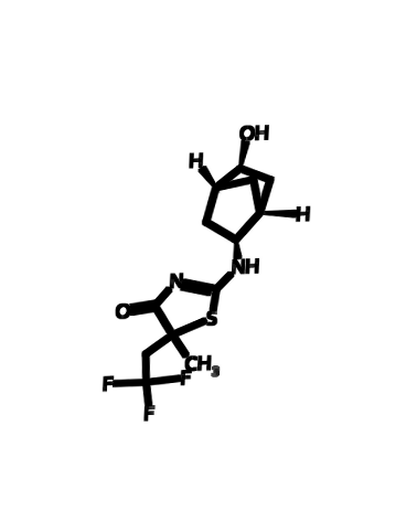 CC1(CC(F)(F)F)SC(N[C@H]2C[C@H]3C[C@@H]2C[C@@H]3O)=NC1=O